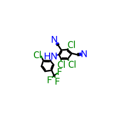 N#Cc1c(Cl)c(Cl)c(Nc2cc(C(F)(F)F)ccc2Cl)c(C#N)c1Cl